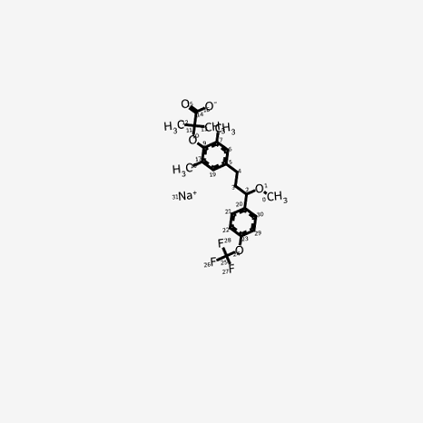 COC(CCc1cc(C)c(OC(C)(C)C(=O)[O-])c(C)c1)c1ccc(OC(F)(F)F)cc1.[Na+]